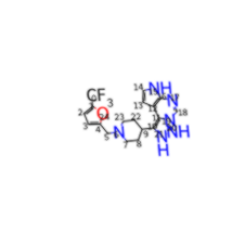 FC(F)(F)c1ccc(CN2CCC(C3=C4c5cc[nH]c5N=CN4NN3)CC2)o1